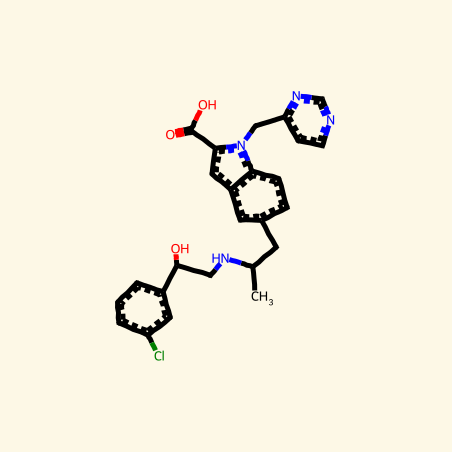 CC(Cc1ccc2c(c1)cc(C(=O)O)n2Cc1ccncn1)NCC(O)c1cccc(Cl)c1